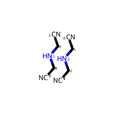 N#CCNCC#N.N#CCNCC#N